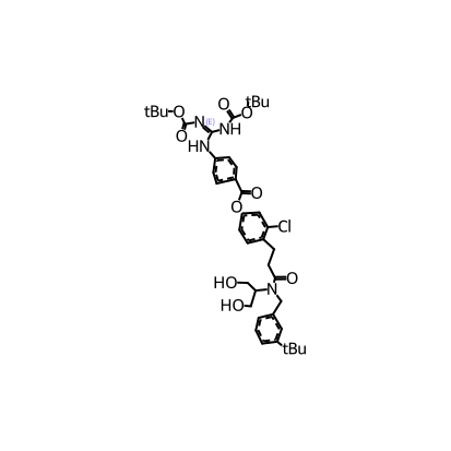 CC(C)(C)OC(=O)/N=C(/NC(=O)OC(C)(C)C)Nc1ccc(C(=O)Oc2ccc(CCC(=O)N(Cc3cccc(C(C)(C)C)c3)C(CO)CO)c(Cl)c2)cc1